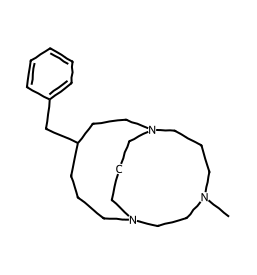 CN1CCCN2CCCN(CCCC(Cc3ccccc3)CC2)CC1